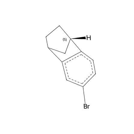 Brc1ccc2c(c1)C1CC[C@H]2C1